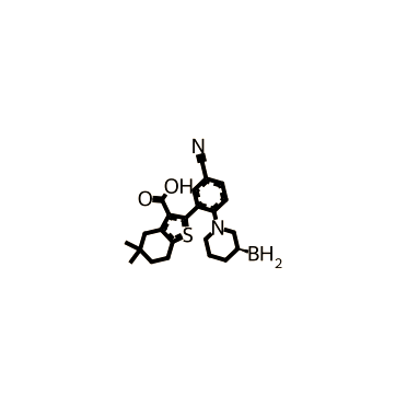 B[C@H]1CCCN(c2ccc(C#N)cc2-c2sc3c(c2C(=O)O)CC(C)(C)CC3)C1